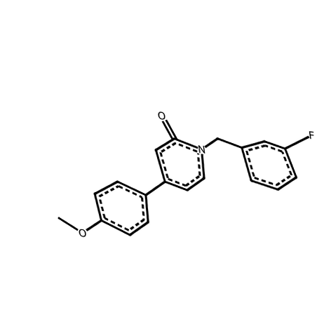 COc1ccc(-c2ccn(Cc3cccc(F)c3)c(=O)c2)cc1